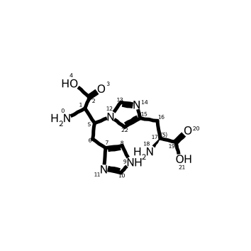 NC(C(=O)O)C(Cc1c[nH]cn1)n1cnc(C[C@H](N)C(=O)O)c1